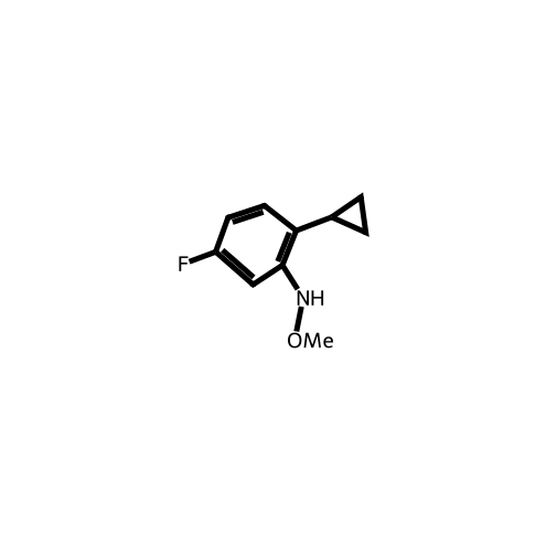 CONc1cc(F)ccc1C1CC1